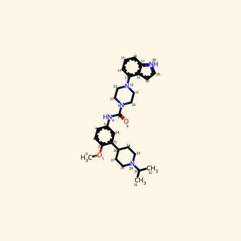 COc1ccc(NC(=O)N2CCN(c3cccc4[nH]ccc34)CC2)cc1C1CCN(C(C)C)CC1